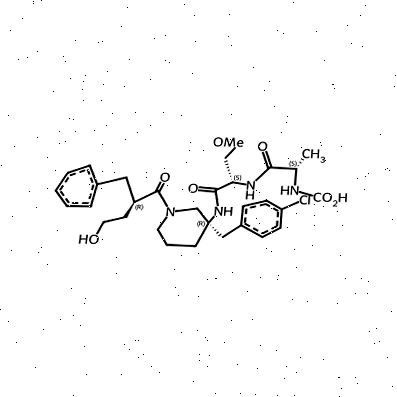 COC[C@H](NC(=O)[C@H](C)NC(=O)O)C(=O)N[C@@]1(Cc2ccc(Cl)cc2)CCCN(C(=O)[C@@H](CCO)Cc2ccccc2)C1